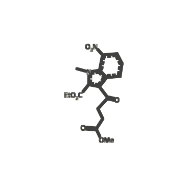 CCOC(=O)c1c(C(=O)CCC(=O)OC)c2cccc([N+](=O)[O-])c2n1C